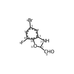 O=CC1Nc2cc(Br)cc(F)c2O1